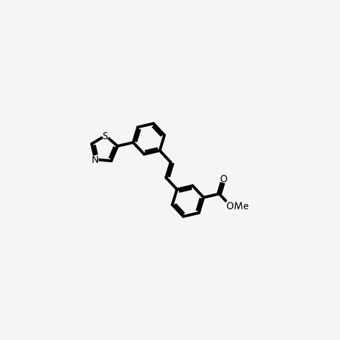 COC(=O)c1cccc(C=Cc2cccc(-c3cncs3)c2)c1